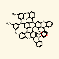 Cc1cc(C)cc(N(c2cc(C)cc(C)c2)c2cc3c4c(c2)N(c2ccccc2C)c2cc5c6c(c2B4c2c(cc4c7c2Oc2ccccc2B7c2ccccc2S4)N3c2ccccc2C)Oc2ccccc2B6c2ccccc2S5)c1